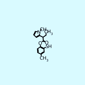 CCC(C(=O)Oc1ccc(C)cc1S)c1cccn1C